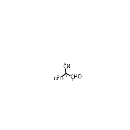 CCCC([C]=O)C#N